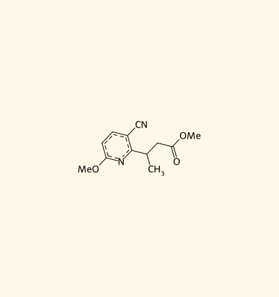 COC(=O)CC(C)c1nc(OC)ccc1C#N